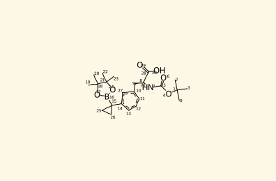 CC(C)(C)OC(=O)N[C@@H](Cc1cccc(C2(B3OC(C)(C)C(C)(C)O3)CC2)c1)C(=O)O